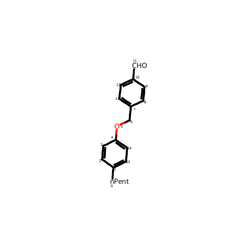 CCCCCc1ccc(OCc2ccc(C=O)cc2)cc1